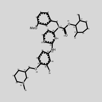 COc1cccc(CN(C(=O)OC2C(C)CCCC2C)c2ccnc(Nc3ccc(OCC4CCCN(C)C4)c(F)c3)n2)c1